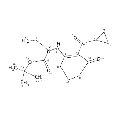 CCN(NC1=C(C(=O)C2CC2)C(=O)CCC1)C(=O)OC(C)(C)C